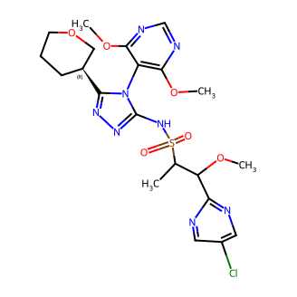 COc1ncnc(OC)c1-n1c(NS(=O)(=O)C(C)C(OC)c2ncc(Cl)cn2)nnc1[C@H]1CCCOC1